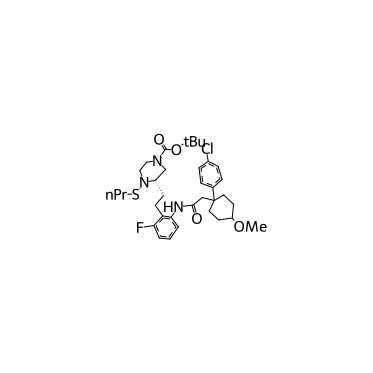 CCCSN1CCN(C(=O)OC(C)(C)C)C[C@@H]1CCc1c(F)cccc1NC(=O)CC1(c2ccc(Cl)cc2)CCC(OC)CC1